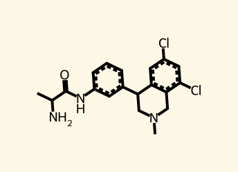 CC(N)C(=O)Nc1cccc(C2CN(C)Cc3c(Cl)cc(Cl)cc32)c1